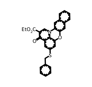 CCOC(=O)c1cn2c3c(cc(SCc4ccccc4)cc3c1=O)Oc1cc3ccccc3cc1-2